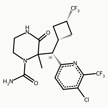 CC1([C@@H](c2ccc(Cl)c(C(F)(F)F)n2)[C@H]2C[C@@H](C(F)(F)F)C2)C(=O)NCCN1C(N)=O